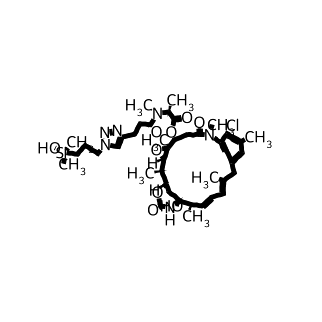 C/C1=C\C=C\[C@@H](C)[C@@]2(O)C[C@H](OC(=O)N2)[C@@H](C)[C@@H]2O[C@]2(C)[C@@H](OC(=O)[C@H](C)N(C)C(=O)CCc2cn(CCC[Si](C)(C)O)nn2)CC(=O)N(C)c2cc(cc(C)c2Cl)C1